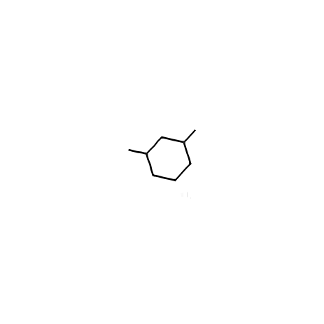 B.CC1CCCC(C)C1